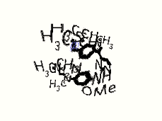 COc1cc(N(C)CCN(C)C)c(N)cc1Nc1nccc(-c2cn(C)c3cc(/C=C(/C)[Si](C)(C)C)ccc23)n1